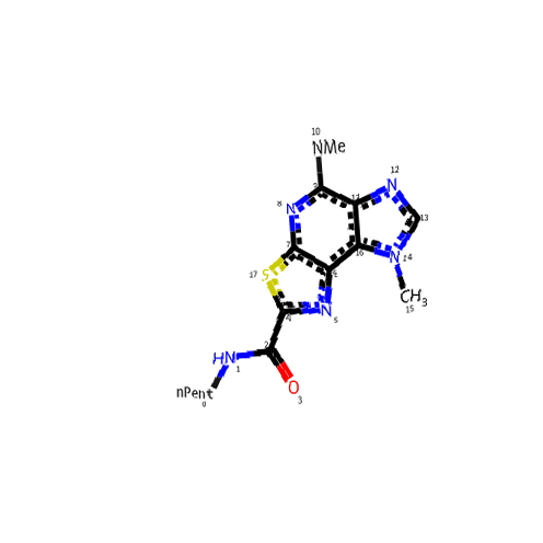 CCCCCNC(=O)c1nc2c(nc(NC)c3ncn(C)c32)s1